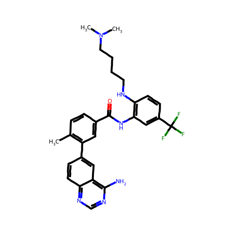 Cc1ccc(C(=O)Nc2cc(C(F)(F)F)ccc2NCCCCN(C)C)cc1-c1ccc2ncnc(N)c2c1